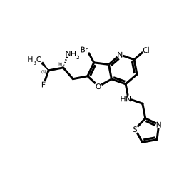 C[C@H](F)[C@H](N)Cc1oc2c(NCc3nccs3)cc(Cl)nc2c1Br